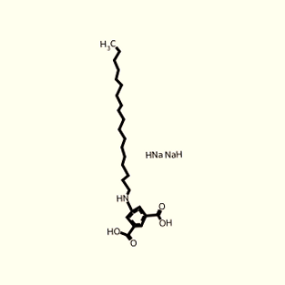 CCCCCCCCCCCCCCCCCCNc1cc(C(=O)O)cc(C(=O)O)c1.[NaH].[NaH]